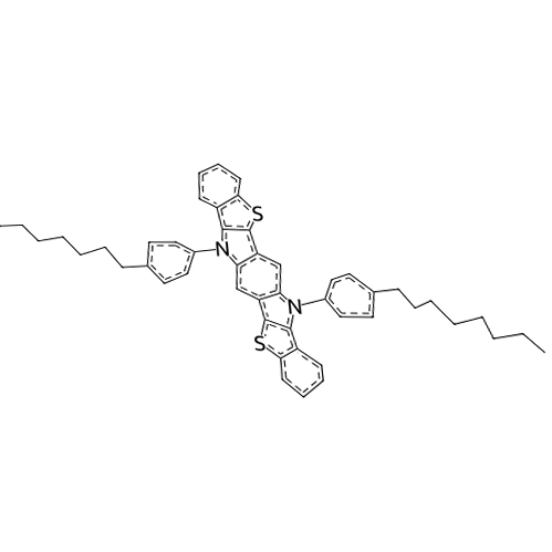 CCCCCCCCc1ccc(-n2c3cc4c5sc6ccccc6c5n(-c5ccc(CCCCCCCC)cc5)c4cc3c3sc4ccccc4c32)cc1